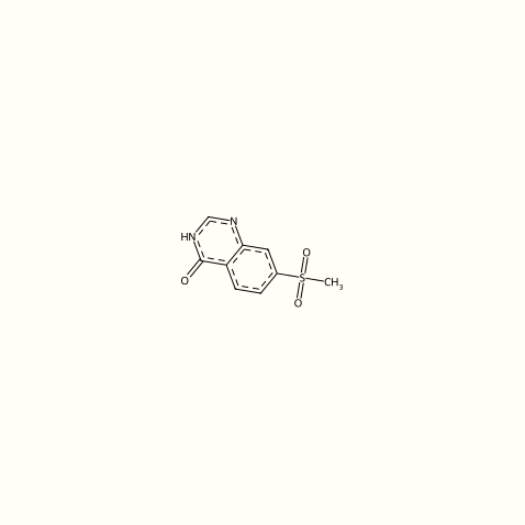 CS(=O)(=O)c1ccc2c(=O)[nH]cnc2c1